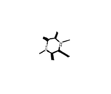 C=C1C(=C)[SiH](C)C(=C)C(=C)[SiH]1C